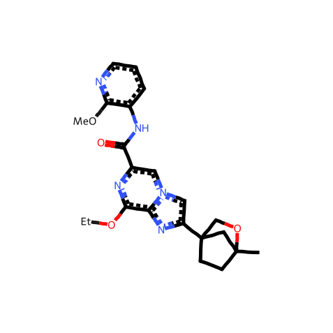 CCOc1nc(C(=O)Nc2cccnc2OC)cn2cc(C34CCC(C)(C3)OC4)nc12